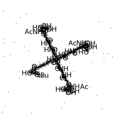 CC(=O)NC1C(OCCCCC(=O)NCCCNC(=O)CCOCC(COCCC(=O)NCCCNC(=O)CCCCO[C@@H]2OC(CO)[C@H](O)C(O)[C@@H]2NC(C)=O)(COCCC(=O)NCCCNC(=O)CCCCO[C@@H]2OC(CO)[C@H](O)C(O)[C@@H]2NC(C)=O)NC(=O)CCCCCCCCCCC(=O)N2C[C@H](O)C[C@H]2COC(C)(C)C)OC(CO)[C@H](O)[C@@H]1O